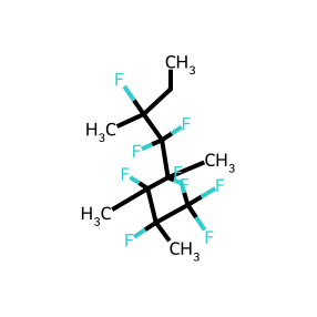 CCC(C)(F)C(F)(F)C(C)(F)C(C)(F)C(C)(F)C(F)(F)F